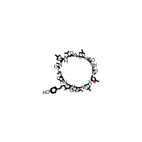 CC[C@@H]1NC(=O)[C@H]([C@H](O)[C@H](C)C/C=C/c2ccc(O)cc2)N(C)C(=O)[C@H](C(C)C)N(C)C(=O)[C@H](CC(C)C)N(C)C(=O)[C@H](CC(C)C)N(C)C(=O)[C@@H](C)NC(=O)[C@H](C)NC(=O)[C@H](CC(C)C)N(C)C(=O)[C@H](C(C)C)NC(=O)[C@H](CC(C)C)N(C)C(=O)CN(C)C1=O